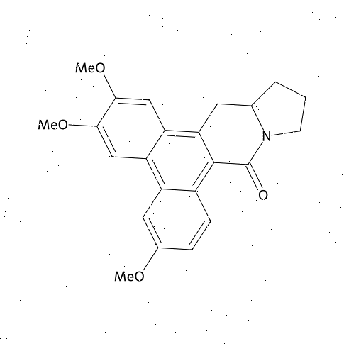 COc1ccc2c3c(c4cc(OC)c(OC)cc4c2c1)CC1CCCN1C3=O